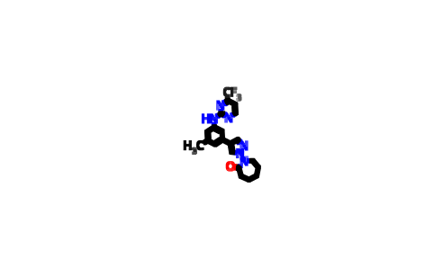 Cc1cc(Nc2nccc(C(F)(F)F)n2)cc(-c2cnn(N3CCCCCC3=O)c2)c1